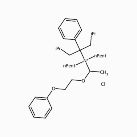 CCCCC[N+](CCCCC)(C(C)OCCOc1ccccc1)C(CC(C)C)(CC(C)C)c1ccccc1.[Cl-]